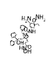 CCc1cc(NC(=O)c2cc(CCC(=O)NO)c(CCC(O)(c3ccccc3)c3ccccc3)n2Cc2ccccc2)cc(CN)c1OCN